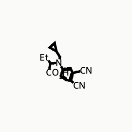 CCC(C(=O)O)N(CC1CC1)c1ccc(C#N)c(C#N)c1